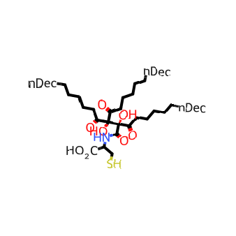 CCCCCCCCCCCCCCCC(=O)C(O)(C(=O)CCCCCCCCCCCCCCC)[C@](O)(C(=O)CCCCCCCCCCCCCCC)C(=O)NC(CS)C(=O)O